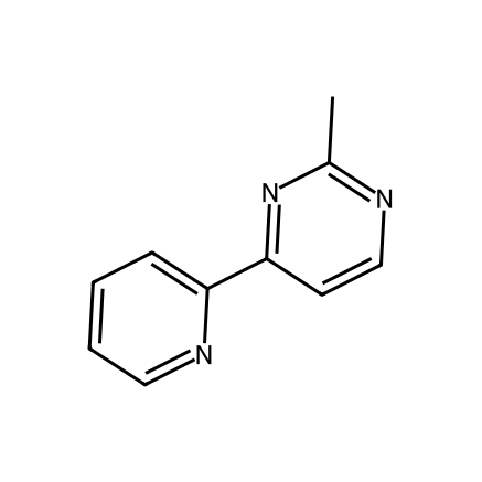 Cc1nccc(-c2ccccn2)n1